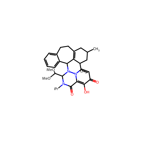 COC(OC)C1N(C(C)C)C(=O)c2c(O)c(=O)ccn2N1C1C2=C(CCc3ccccc31)CC(C)CC2C